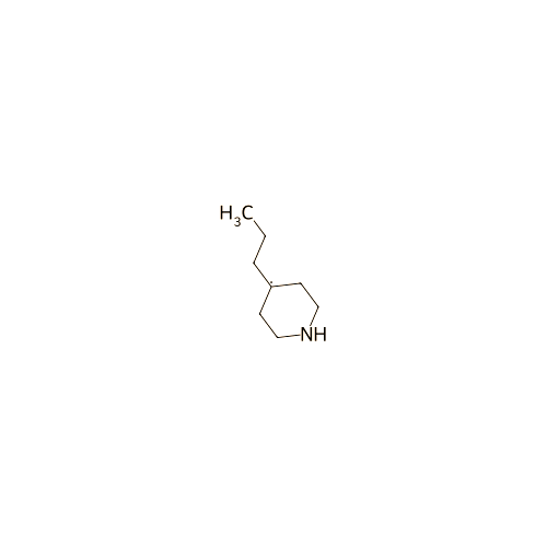 CCC[C]1CCNCC1